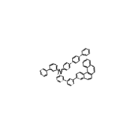 c1ccc(-c2ccc(-c3ccc(N(c4cccc(-c5ccccc5)c4)c4cccc(-c5cccc(-c6ccc7c(ccc8ccc9ccccc9c87)c6)c5)c4)cc3)cc2)cc1